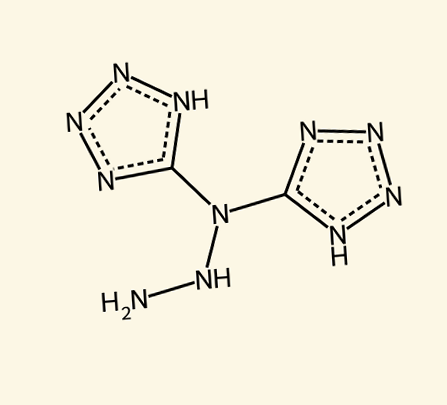 NNN(c1nnn[nH]1)c1nnn[nH]1